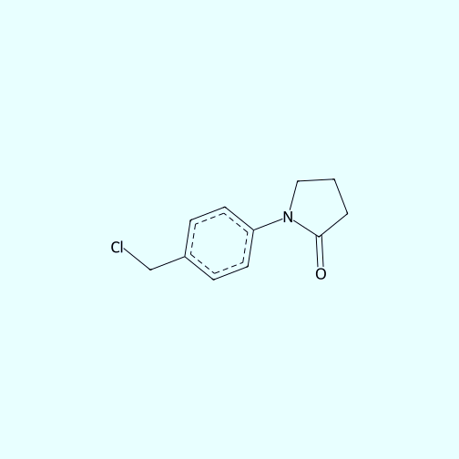 O=C1CCCN1c1ccc(CCl)cc1